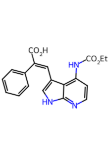 CCOC(=O)Nc1ccnc2[nH]cc(C=C(C(=O)O)c3ccccc3)c12